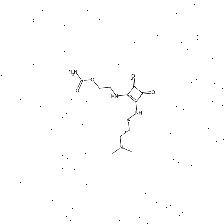 CN(C)CCCNc1c(NCCOC(N)=O)c(=O)c1=O